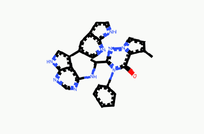 Cc1ccn2nc(C(C)Nc3ncnc4[nH]cc(-c5cnc6[nH]ccc6c5)c34)n(-c3ccccc3)c(=O)c12